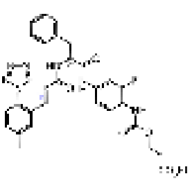 CCOC(=O)CCOC(=O)Nc1ccc(NC(=O)[C@H](Cc2ccccc2)NC(=O)/C=C/c2cc(C)ccc2-n2cnnn2)cc1F